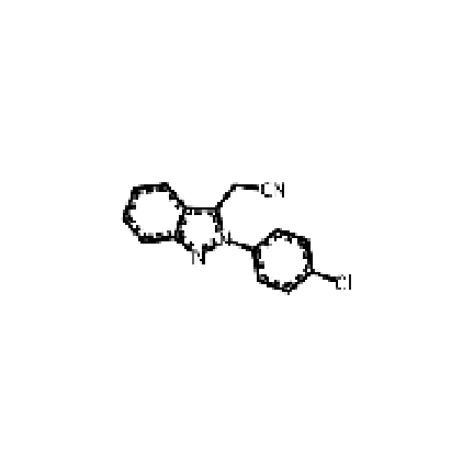 N#CCc1c2ccccc2nn1-c1ccc(Cl)cc1